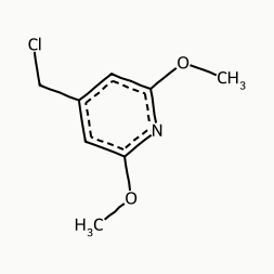 COc1cc(CCl)cc(OC)n1